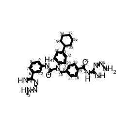 CN/N=N\C(=N)c1cccc(NC(=O)N(Cc2ccc(C(=O)NC(=N)/N=N\N)cc2)c2ccc(C3CCCCC3)cc2)c1